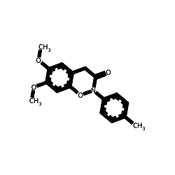 COc1cc2c(cc1OC)ON(c1ccc(C)cc1)C(=O)C2